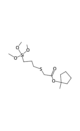 CO[Si](CCCSCC(=O)OC1(C)CCCC1)(OC)OC